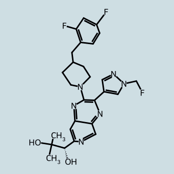 CC(C)(O)[C@@H](O)c1cc2nc(N3CCC(Cc4ccc(F)cc4F)CC3)c(-c3cnn(CF)c3)nc2cn1